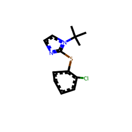 CC(C)(C)n1ccnc1Sc1ccccc1Cl